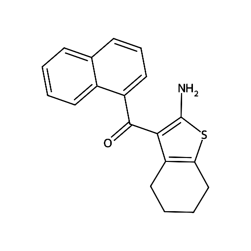 Nc1sc2c(c1C(=O)c1cccc3ccccc13)CCCC2